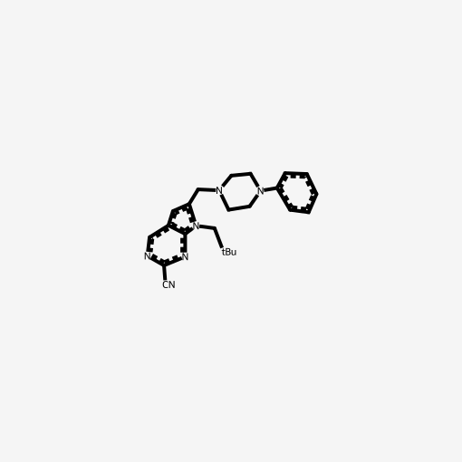 CC(C)(C)Cn1c(CN2CCN(c3ccccc3)CC2)cc2cnc(C#N)nc21